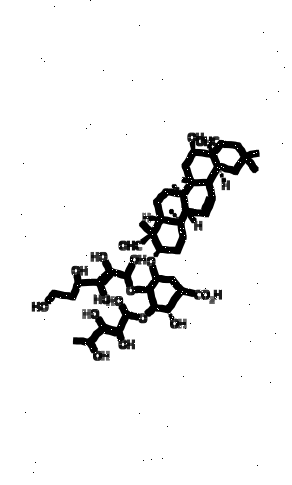 CC(O)/C(O)=C(\O)C(O)OC1C(OC(O)/C(O)=C(\O)C(O)CCO)C(O[C@H]2CC[C@]3(C)[C@H]4C=CC5[C@@H]6CC(C)(C)CC[C@]6(C=O)[C@H](O)C[C@@]5(C)[C@]4(C)CC[C@H]3[C@]2(C)C=O)CC(C(=O)O)[C@@H]1O